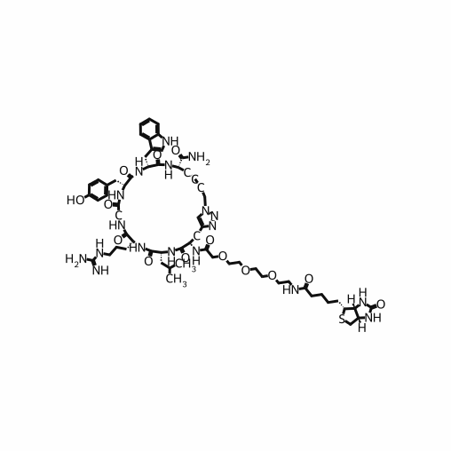 CC(C)C[C@H]1NC(=O)[C@@H](NC(=O)COCCOCCOCCNC(=O)CCCC[C@H]2SC[C@H]3NC(=O)N[C@H]32)Cc2cn(nn2)CCCC[C@@H](C(N)=O)NC(=O)[C@@H](Cc2c[nH]c3ccccc23)NC(=O)[C@@H](Cc2ccc(O)cc2)NC(=O)CNC(=O)[C@@H](CCCNC(=N)N)NC1=O